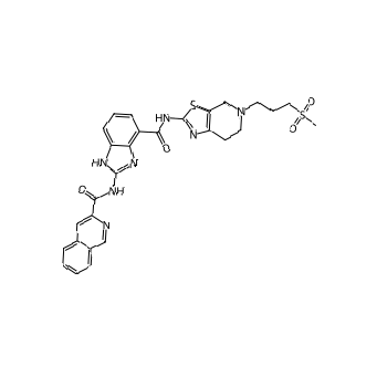 CS(=O)(=O)CCCN1CCc2nc(NC(=O)c3cccc4[nH]c(NC(=O)c5cc6ccccc6cn5)nc34)sc2C1